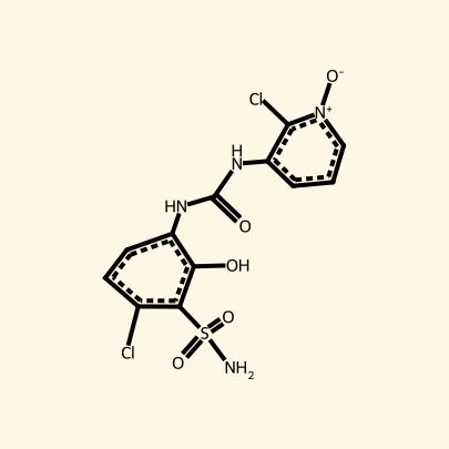 NS(=O)(=O)c1c(Cl)ccc(NC(=O)Nc2ccc[n+]([O-])c2Cl)c1O